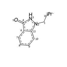 C[C](C)Cn1[nH]c(=O)c2ccccc21